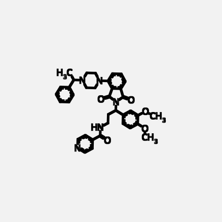 COc1ccc(C(CCNC(=O)c2ccncc2)N2C(=O)c3cccc(N4CCN(C(C)c5ccccc5)CC4)c3C2=O)cc1OC